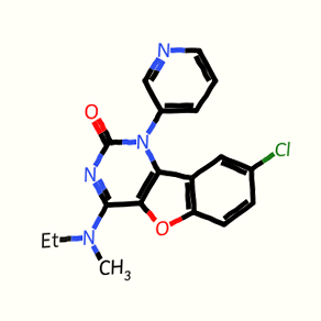 CCN(C)c1nc(=O)n(-c2cccnc2)c2c1oc1ccc(Cl)cc12